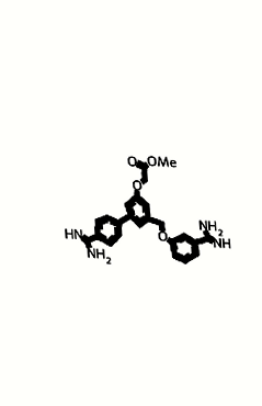 COC(=O)COc1cc(COc2cccc(C(=N)N)c2)cc(-c2ccc(C(=N)N)cc2)c1